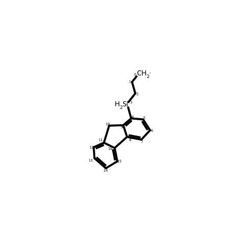 [CH2]CC[SiH2]c1cccc2c1Cc1ccccc1-2